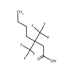 CCCCC(CC(=O)O)(C(F)(F)F)C(F)(F)F